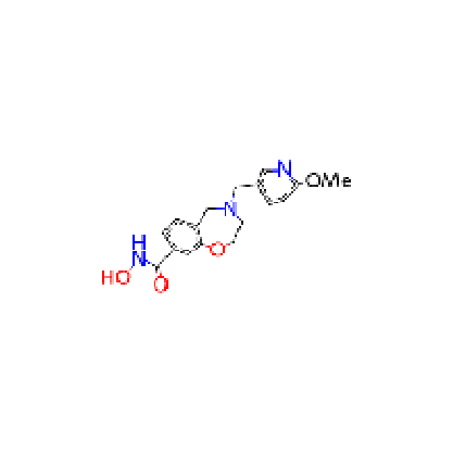 COc1ccc(CN2CCOc3cc(C(=O)NO)ccc3C2)cn1